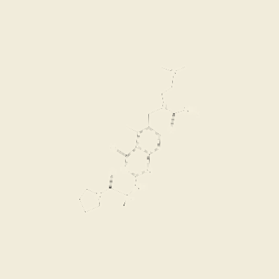 Cc1c(CN(CCN(C)C)C(N)=O)ccc2nc(N[C@@H](C)C(=O)N3CCCC3)oc(=O)c12